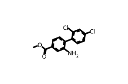 COC(=O)c1ccc(-c2ccc(Cl)cc2Cl)c(N)c1